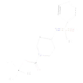 CC(C)(C)OC(=O)N1CCC(N=S(C)(=O)c2ccccc2)CC1